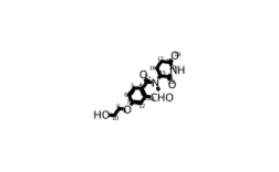 CN(C(=O)c1ccc(OCCO)cc1C=O)C1CCC(=O)NC1=O